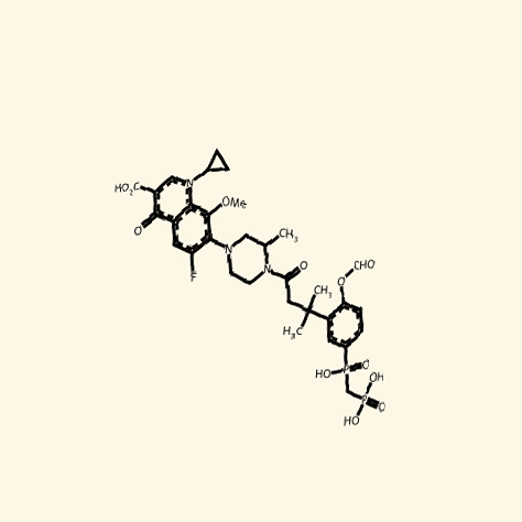 COc1c(N2CCN(C(=O)CC(C)(C)c3cc(P(=O)(O)CP(=O)(O)O)ccc3OC=O)C(C)C2)c(F)cc2c(=O)c(C(=O)O)cn(C3CC3)c12